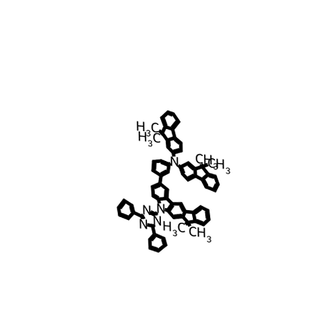 CC1(C)c2ccccc2-c2ccc(N(c3cccc(-c4ccc5c(c4)c4cc6c(cc4n5-c4nc(-c5ccccc5)nc(-c5ccccc5)n4)C(C)(C)c4ccccc4-6)c3)c3ccc4c(c3)C(C)(C)c3ccccc3-4)cc21